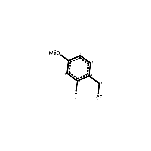 COc1ccc(CC(C)=O)c(F)c1